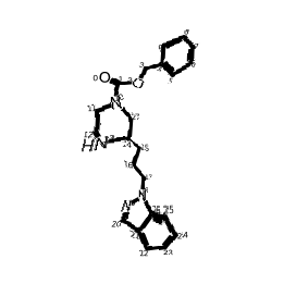 O=C(OCc1ccccc1)N1CCN[C@H](CCCn2ncc3ccccc32)C1